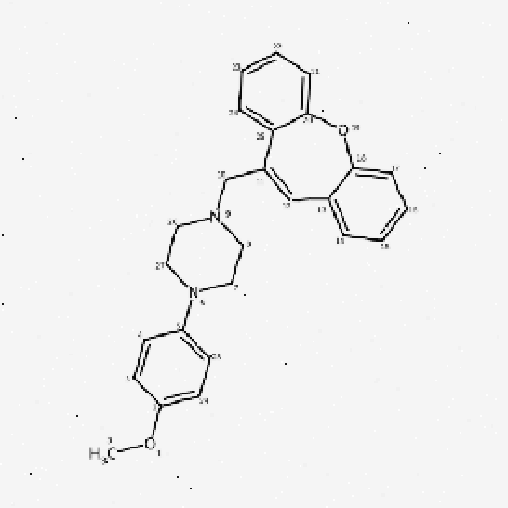 COc1ccc(N2CCN(CC3=Cc4ccccc4Oc4ccccc43)CC2)cc1